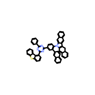 C1=CC2=Cc3c(c4cc5ccccc5cc4n3-c3ccc(-c4nc(-c5ccccc5)nc(-c5cccc6sc7ccccc7c56)n4)cc3-c3ccc4ccccc4c3)CC2C=C1